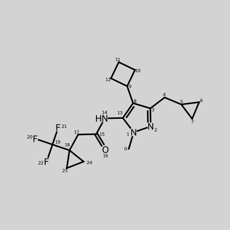 Cn1nc(CC2CC2)c(C2CCC2)c1NC(=O)CC1(C(F)(F)F)CC1